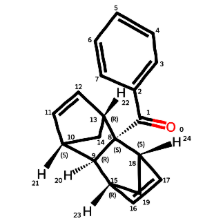 O=C(c1ccccc1)[C@]12[C@H]([C@@H]3C=C[C@H]1C3)[C@H]1C=C[C@@H]2C1